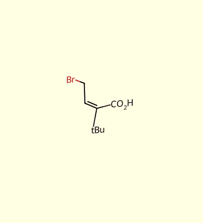 CC(C)(C)C(=CCBr)C(=O)O